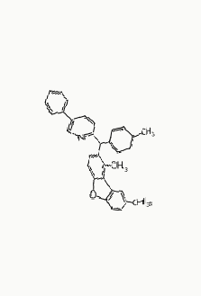 Cc1ccc2oc3ccc(C(C4=CCC(C)C=C4)c4ccc(-c5ccccc5)cn4)c(C)c3c2c1